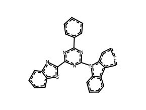 c1ccc(-c2nc(-c3nc4ccccc4s3)nc(-n3c4ccccc4c4ccccc43)n2)cc1